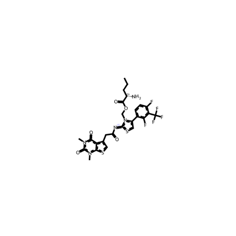 CCC[C@H](N)C(=O)OCn1c(-c2ccc(F)c(C(F)(F)F)c2F)cs/c1=N\C(=O)Cc1csc2c1c(=O)n(C)c(=O)n2C